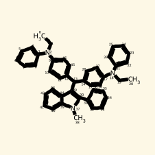 CCN(c1ccccc1)c1ccc(C(c2ccc(N(CC)c3ccccc3)cc2)c2c(-c3ccccc3)n(C)c3ccccc23)cc1